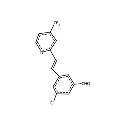 O=Cc1cc(Cl)cc(/C=C/c2cc(C(F)(F)F)ccn2)c1